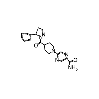 NC(=O)c1cnc(N2CCC(C(=O)N3N=CCC3c3ccccc3)CC2)cn1